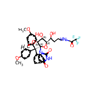 COc1ccc(C(c2ccccc2)(c2ccc(OC)cc2)[C@@]2(n3ccc(=O)[nH]c3=O)O[C@H](C(O)CCCNC(=O)C(F)(F)F)[C@@H](O)[C@H]2OC)cc1